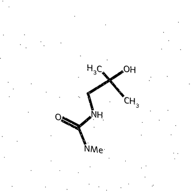 CNC(=O)NCC(C)(C)O